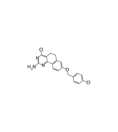 Nc1nc(Cl)c2c(n1)-c1ccc(OCc3ccc(Cl)cc3)cc1CC2